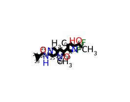 Cc1cc([C@H](O)C(C)(F)F)ncc1-c1cc2cnc(NC(=O)C3CC3)cc2n(C)c1=O